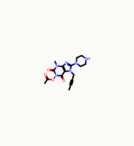 CC#CCn1c(N2CCNCC2)nc2c1c(=O)n(OC(C)=O)c(=O)n2C